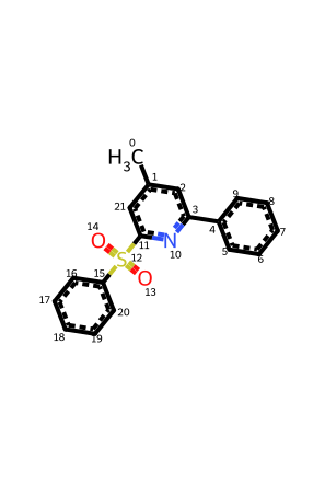 Cc1cc(-c2ccccc2)nc(S(=O)(=O)c2ccccc2)c1